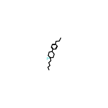 CCCCCC1(F)CCC(c2ccc(CCC)cc2)CC1